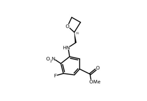 COC(=O)c1cc(F)c([N+](=O)[O-])c(NC[C@@H]2CCO2)c1